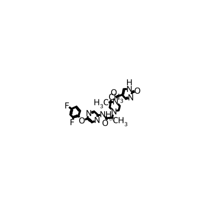 C[C@@H](C(=O)Nc1cnc(Oc2ccc(F)cc2F)cn1)N1CCN(C(=O)c2cnc(=O)[nH]c2)C(C)(C)C1